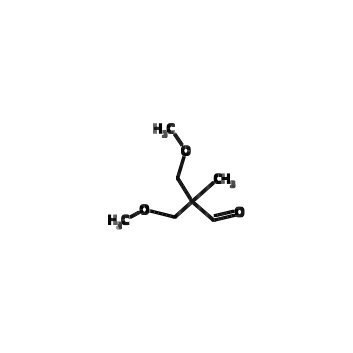 COCC(C)(C=O)COC